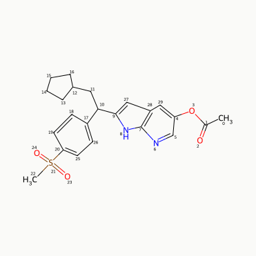 CC(=O)Oc1cnc2[nH]c(C(CC3CCCC3)c3ccc(S(C)(=O)=O)cc3)cc2c1